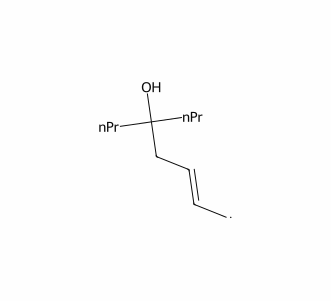 [CH2]C=CCC(O)(CCC)CCC